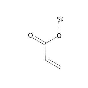 C=CC(=O)O[Si]